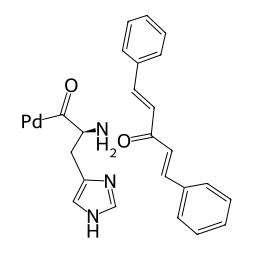 N[C@@H](Cc1c[nH]cn1)[C](=O)[Pd].O=C(C=Cc1ccccc1)C=Cc1ccccc1